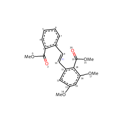 COC(=O)c1ccccc1/C=C/c1cc(OC)cc(OC)c1C(=O)OC